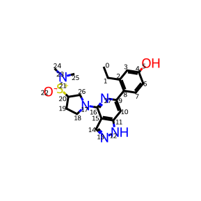 CCc1cc(O)ccc1-c1cc2[nH]ncc2c(N2CCC([S+]([O-])N(C)C)C2)n1